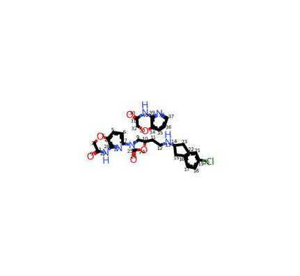 O=C1COc2ccc(N3CC(CCNC4Cc5ccc(Cl)cc5C4)OC3=O)nc2N1.O=C1COc2cccnc2N1